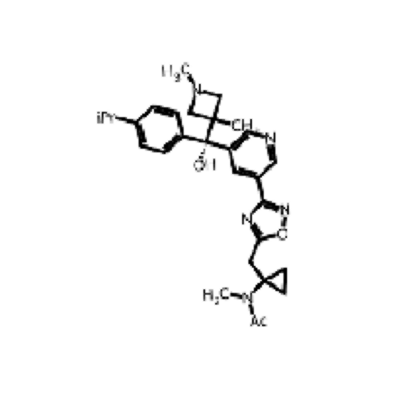 CC(=O)N(C)C1(Cc2nc(-c3cncc([C@@](O)(c4ccc(C(C)C)cc4)C4(C)CN(C)C4)c3)no2)CC1